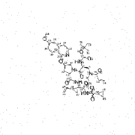 C=CCN(C[C@H](NC(=O)OC(C)(C)C)C(=O)N1C[C@H](Oc2nccc3cc(OC)ccc23)C[C@H]1C(=O)N[C@]1(C(=O)NS(=O)(=O)C2CC2)C[C@H]1C=C)C(=O)C=C